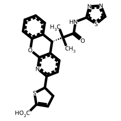 CC(C)(C(=O)Nc1nncs1)[C@H]1c2ccccc2Oc2nc(C3CC=C(C(=O)O)S3)ccc21